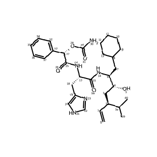 C=C[C@@H](C[C@@H](O)[C@H](CC1CCCCC1)NC(=O)[C@H](Cc1c[nH]cn1)NC(=O)[C@@H](OC(N)=O)c1ccccc1)C(C)C